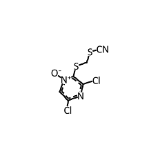 N#CSCSc1c(Cl)nc(Cl)c[n+]1[O-]